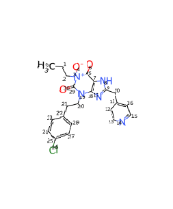 CCC[N+]1([O-])C(=O)c2[nH]c(Cc3ccncc3)nc2N(CCc2ccc(Cl)cc2)C1=O